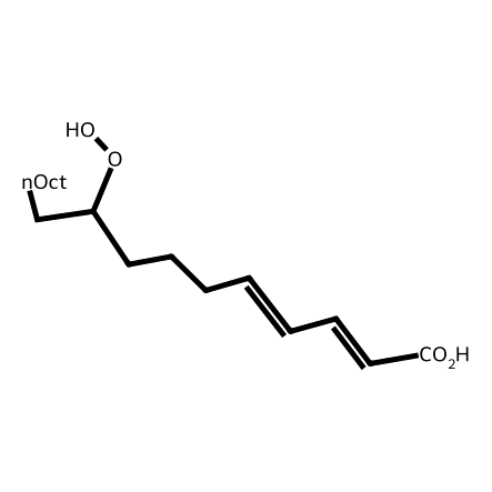 CCCCCCCCCC(CCC/C=C/C=C/C(=O)O)OO